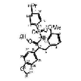 COc1cccc(CC(C(=O)NS(=O)(=O)c2ccc(C(C)C)cc2)c2ccc3c(c2)OCO3)c1.[KH]